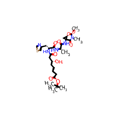 COC(=O)N(C)C(=O)C1(NC(=O)[C@@H](C)NC(=O)[C@@H](Cc2cscn2)NC(=O)C[C@H](O)CCCCC(=O)OC(C)(C)C)CC1